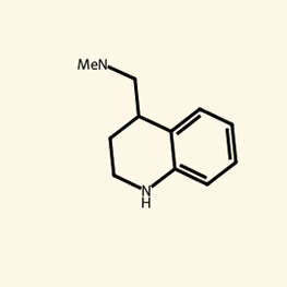 CNCC1CCNc2ccccc21